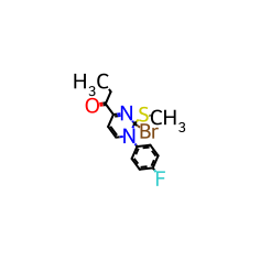 CCC(=O)C1=NC(Br)(SC)N(c2ccc(F)cc2)C=C1